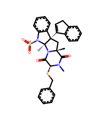 CN1C(=O)[C@@]2(C)C[C@]3(C4=CCc5ccccc54)c4ccccc4N([SH](=O)=O)[C@@H]3N2C(=O)[C@@H]1SCc1ccccc1